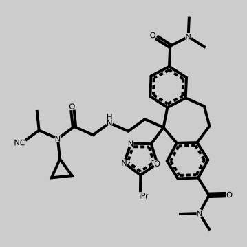 CC(C)c1nnc(C2(CCNCC(=O)N(C(C)C#N)C3CC3)c3ccc(C(=O)N(C)C)cc3CCc3cc(C(=O)N(C)C)ccc32)o1